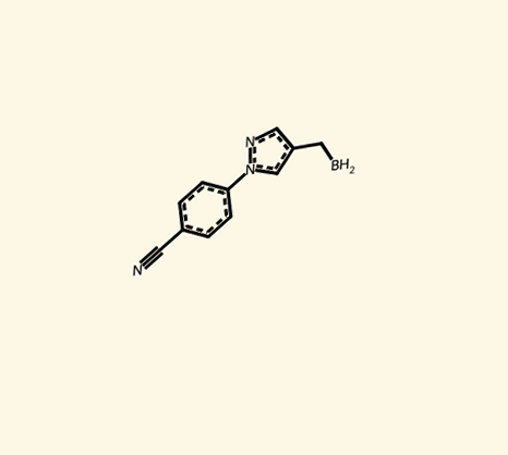 BCc1cnn(-c2ccc(C#N)cc2)c1